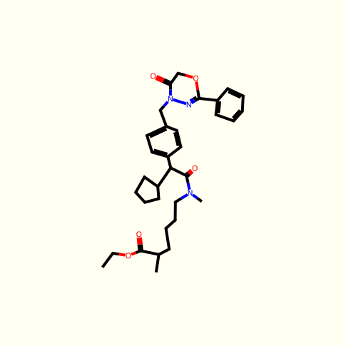 CCOC(=O)C(C)CCCCN(C)C(=O)C(c1ccc(CN2N=C(c3ccccc3)OCC2=O)cc1)C1CCCC1